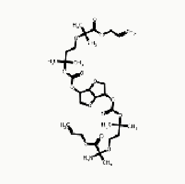 C=CCOC(=O)C(C)(C)OCCC(C)(C)OC(=O)OC1COC2C(OC(=O)OC(C)(C)CCOC(C)(N)C(=O)OCC=C)COC12